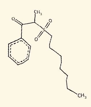 CCCCCCCS(=O)(=O)C(C)C(=O)c1ccccc1